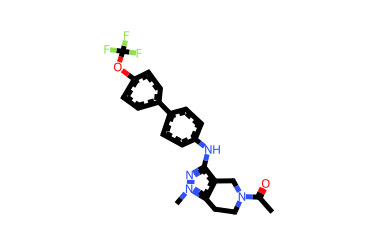 CC(=O)N1CCc2c(c(Nc3ccc(-c4ccc(OC(F)(F)F)cc4)cc3)nn2C)C1